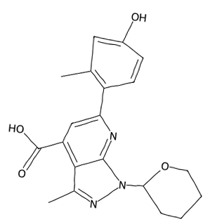 Cc1cc(O)ccc1-c1cc(C(=O)O)c2c(C)nn(C3CCCCO3)c2n1